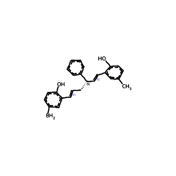 Bc1ccc(O)c(/C=C/C[C@@H](/C=C/c2cc(C)ccc2O)c2ccccc2)c1